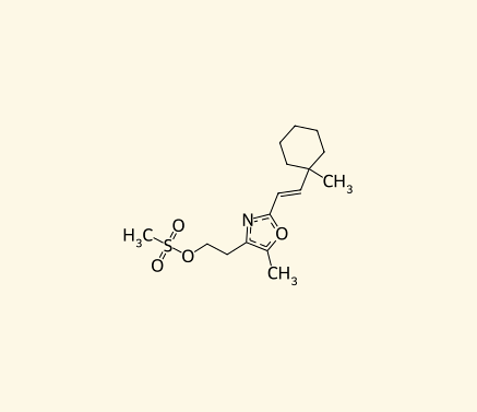 Cc1oc(C=CC2(C)CCCCC2)nc1CCOS(C)(=O)=O